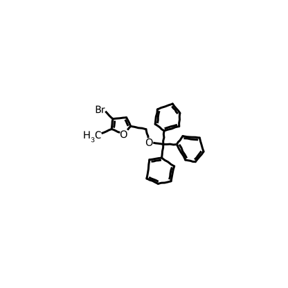 Cc1oc(COC(c2ccccc2)(c2ccccc2)c2ccccc2)cc1Br